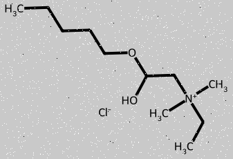 CCCCCOC(O)C[N+](C)(C)CC.[Cl-]